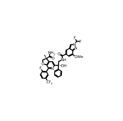 COc1cc(C(=O)NC[C@@](O)(c2ccccc2)c2cc3c(c(-c4cc(C(F)(F)F)ccc4F)n2)OC[C@]3(C)C(N)=O)cc2cn(C(F)F)nc12